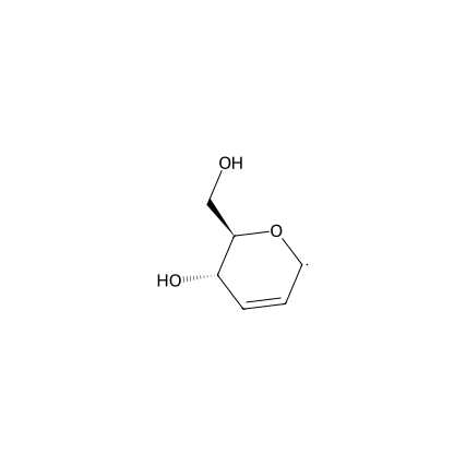 OC[C@H]1O[CH]C=C[C@@H]1O